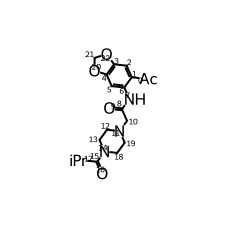 CC(=O)c1cc2c(cc1NC(=O)CN1CCN(C(=O)C(C)C)CC1)OCO2